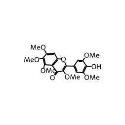 COc1cc(-c2oc3cc(OC)c(OC)c(OC)c3c(=O)c2OC)cc(OC)c1O